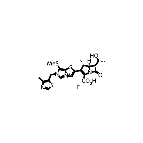 CSc1c2sc(C3=C(C(=O)O)N4C(=O)[C@H]([C@@H](C)O)[C@H]4[C@H]3C)c[n+]2cn1Cc1scnc1C.[I-]